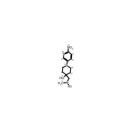 CCN(C)CC1(O)CCN(c2ccc([N+](=O)[O-])nc2)CC1